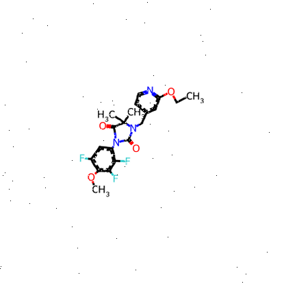 CCOc1cc(CN2C(=O)N(c3cc(F)c(OC)c(F)c3F)C(=O)C2(C)C)ccn1